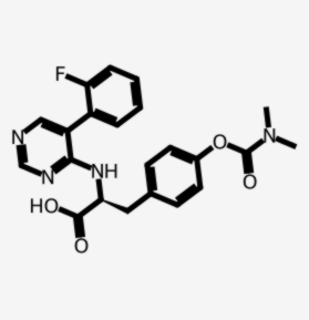 CN(C)C(=O)Oc1ccc(C[C@H](Nc2ncncc2-c2ccccc2F)C(=O)O)cc1